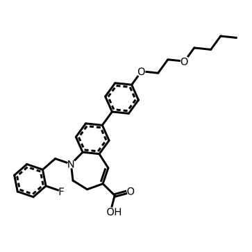 CCCCOCCOc1ccc(-c2ccc3c(c2)C=C(C(=O)O)CCN3Cc2ccccc2F)cc1